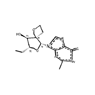 CC[C@H]1O[C@@H](n2cnc3c(=O)[nH]c(C)nc32)[C@@]2(CCO2)[C@@H]1O